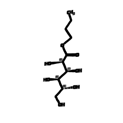 CCCCOC(=O)[C@H](O)[C@@H](O)[C@H](O)[C@H](O)CO